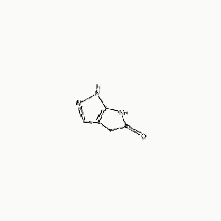 O=C1Cc2cn[nH]c2N1